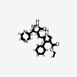 CCOC(=O)c1c[nH]c(C=C2C(=O)NN=C2c2cnccn2)c1-c1ccccc1